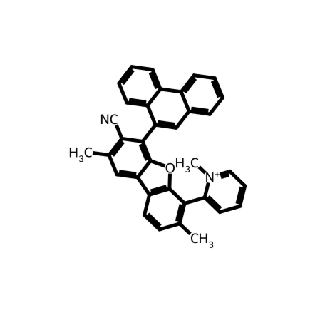 Cc1cc2c(oc3c(-c4cccc[n+]4C)c(C)ccc32)c(-c2cc3ccccc3c3ccccc23)c1C#N